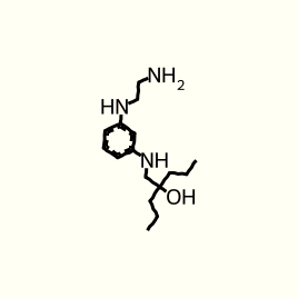 CCCC(O)(CCC)CNc1cccc(NCCN)c1